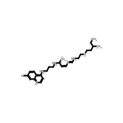 CCC(C)CCOCCN/C=N/C=C\C(C)NCCCNc1ccnc2cc(Cl)ccc12